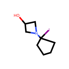 OC1CN(C2(I)CCCC2)C1